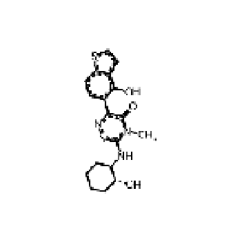 Cn1c(N[C@@H]2CCCC[C@H]2O)nnc(-c2ccc3sccc3c2O)c1=O